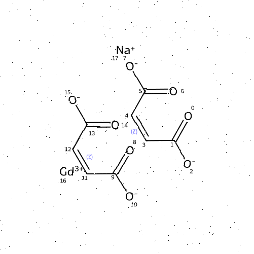 O=C([O-])/C=C\C(=O)[O-].O=C([O-])/C=C\C(=O)[O-].[Gd+3].[Na+]